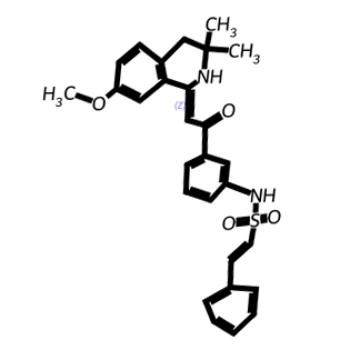 COc1ccc2c(c1)/C(=C/C(=O)c1cccc(NS(=O)(=O)C=Cc3ccccc3)c1)NC(C)(C)C2